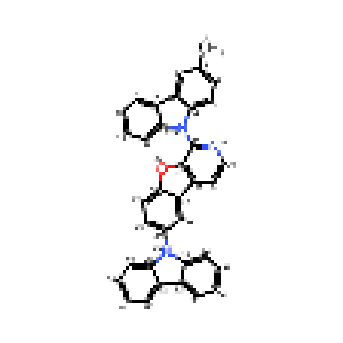 Cc1ccc2c(c1)c1ccccc1n2-c1nccc2c1oc1ccc(-n3c4ccccc4c4ccccc43)cc12